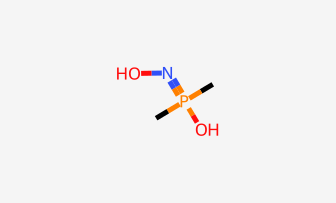 CP(C)(O)=NO